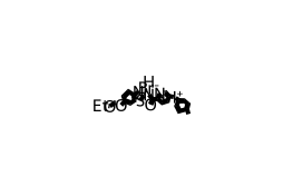 CCOCOc1ccc2nc(NC(=O)c3ccc([I+]c4ccc(C)cc4)cn3)sc2c1.[Br-]